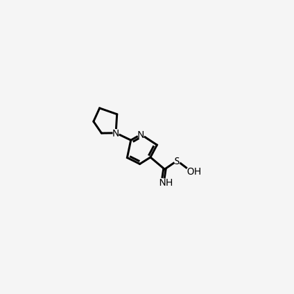 N=C(SO)c1ccc(N2CCCC2)nc1